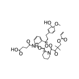 C=CC(=O)OCC(C)(C)C(=O)C(=O)N1CCCC[C@H]1C(=O)O[C@H](CCc1ccc(OC)c(O)c1)c1cccc(NC(=O)CCC(=O)O)c1